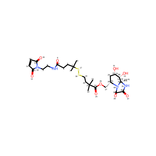 CC(C)(CCC(=O)NCCN1C(=O)C=CC1=O)SSCCC(C)(C)C(=O)OC[C@@H]1C[C@H](O)[C@H](O)[C@H]2NC(=O)C(=O)N12